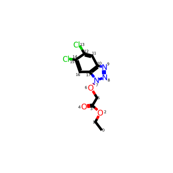 CCOC(=O)COn1nnc2cc(Cl)c(Cl)cc21